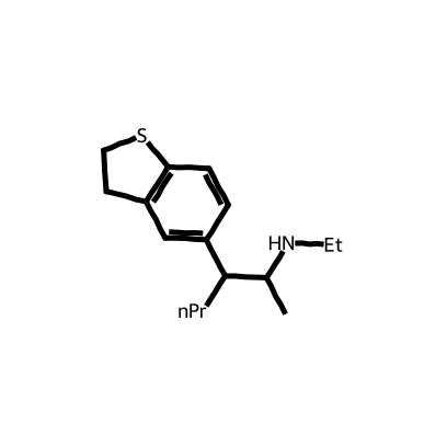 CCCC(c1ccc2c(c1)CCS2)C(C)NCC